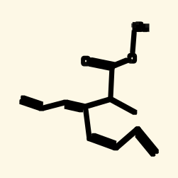 C=C/C=C\C(=C/C=C)C(C)C(=O)OC(C)(C)C